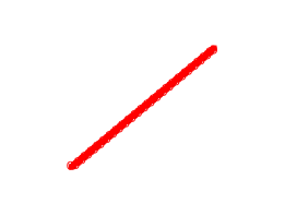 COCCOCCOCCOCCOCCOCCOCCOCCOCCOCCOCCOCCOCCOCCOCCOCCOCCOCCOCCOCCOCCOCCOCCOCCOCCOCCOCCOCCOCCOCCOCCOCCOCCOCCOCCOCCOCCOCCOCCOCCOCCOCCOCCOCCOCCC(C)=O